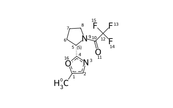 Cc1cnc([C@@H]2CCCN2C(=O)C(F)(F)F)o1